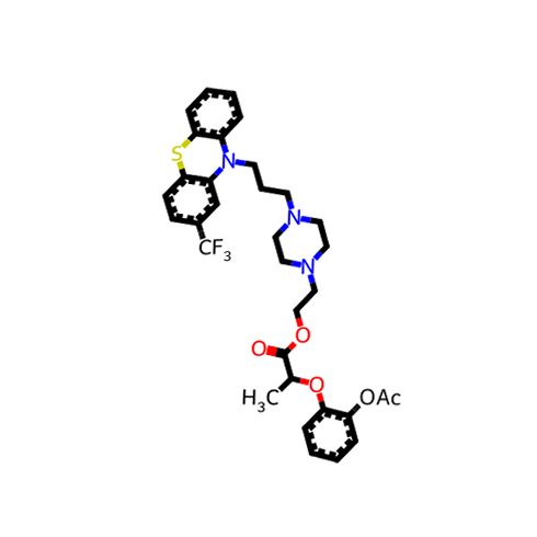 CC(=O)Oc1ccccc1OC(C)C(=O)OCCN1CCN(CCCN2c3ccccc3Sc3ccc(C(F)(F)F)cc32)CC1